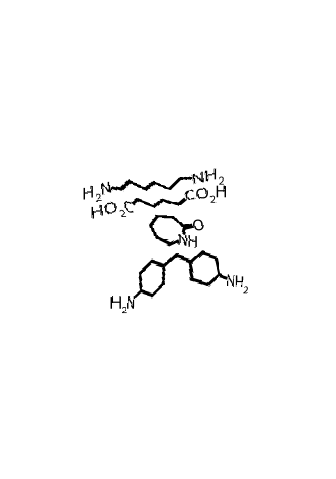 NC1CCC(CC2CCC(N)CC2)CC1.NCCCCCCN.O=C(O)CCCCC(=O)O.O=C1CCCCCN1